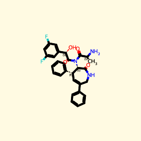 C[C@H](N)C(=O)N(C(=O)[C@@H](O)c1cc(F)cc(F)c1)[C@@H]1C(=O)NCC(c2ccccc2)=C[C@@H]1c1ccccc1